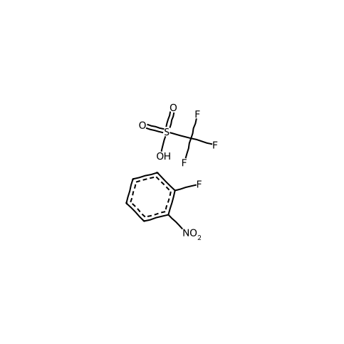 O=S(=O)(O)C(F)(F)F.O=[N+]([O-])c1ccccc1F